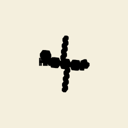 CCCCCCCCc1cc(-c2ccc(C(C)(CC)CC)cc2)c(CCCCCCCC)cc1-c1ccc(Nc2ccccc2)cc1